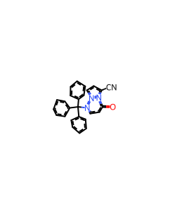 N#Cc1cc[n+]2n(C(c3ccccc3)(c3ccccc3)c3ccccc3)ccc(=O)n12